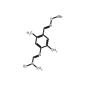 CCN(C)C=Nc1cc(C)c(C=NOC(C)(C)C)cc1C